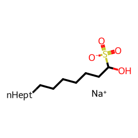 CCCCCCCCCCCCCC(O)S(=O)(=O)[O-].[Na+]